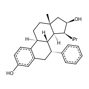 CC(C)[C@H]1[C@H]2[C@H]3[C@H](CC[C@]2(C)C[C@H]1O)c1ccc(O)cc1C[C@H]3c1ccccc1